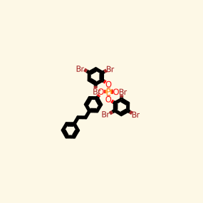 O=P(Oc1ccc(CCc2ccccc2)cc1)(Oc1c(Br)cc(Br)cc1Br)Oc1c(Br)cc(Br)cc1Br